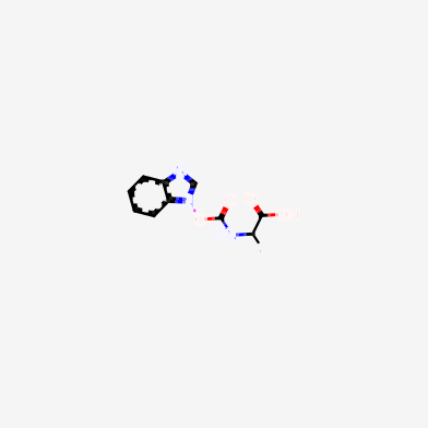 CC(NC(=O)On1cnc2ccccc21)C(=O)O